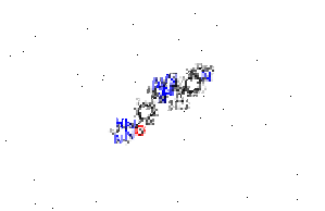 O=C(Nc1ccncn1)c1ccc(-c2cnc3ncc(C4(c5ccc6ncccc6c5)CC4)n3n2)cc1